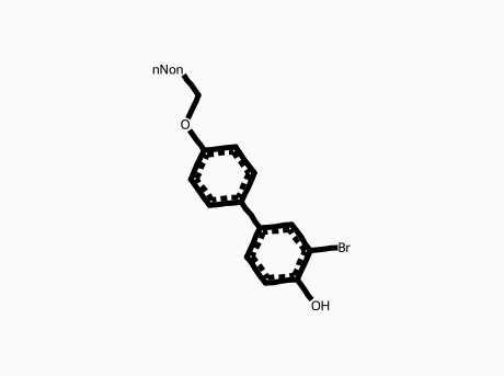 CCCCCCCCCCOc1ccc(-c2ccc(O)c(Br)c2)cc1